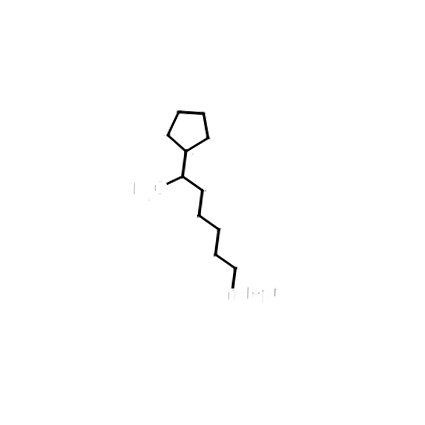 [CH2]C(CCCCCCCCCCCC)C1CCCC1